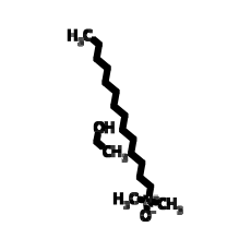 CCCCCCCCCCCCCC[N+](C)(C)[O-].CCO